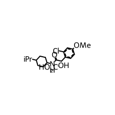 COc1ccc(CC(=O)NC2CCC(C(C)C)CC2)c(Cl)c1.O=C(O)O